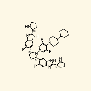 Fc1cc2nc([C@@H]3CCCN3)[nH]c2cc1[C@H]1CC[C@H](c2cc3[nH]c([C@@H]4CCCN4)nc3cc2F)N1c1cc(F)c(N2CCC(C3CCCCC3)CC2)c(F)c1